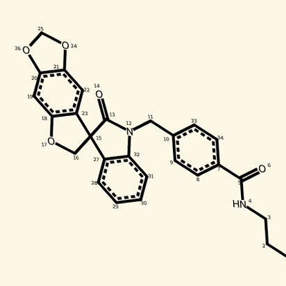 CCCCNC(=O)c1ccc(CN2C(=O)C3(COc4cc5c(cc43)OCO5)c3ccccc32)cc1